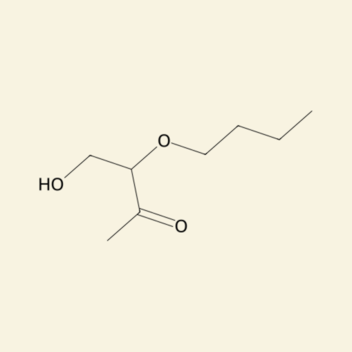 CCCCOC(CO)C(C)=O